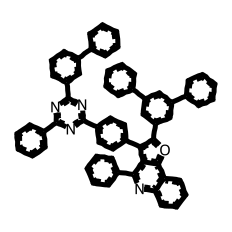 c1ccc(-c2cccc(-c3nc(-c4ccccc4)nc(-c4ccc(-c5c(-c6cc(-c7ccccc7)cc(-c7ccccc7)c6)oc6c5c(-c5ccccc5)nc5ccccc56)cc4)n3)c2)cc1